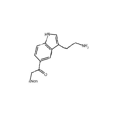 CCCCCCCCCCC(=O)c1ccc2[nH]cc(CCN)c2c1